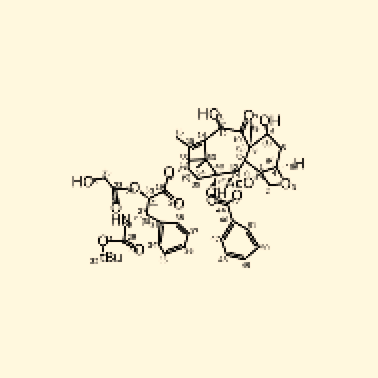 CC(=O)O[C@@]12CO[C@@H]1C[C@H](O)[C@@]1(C)C(=O)[C@H](O)C3=C(C)[C@@H](OC(=O)[C@H](OC(=O)CO)[C@@H](NC(=O)OC(C)(C)C)c4ccccc4)C[C@@](O)([C@@H](OC(=O)c4ccccc4)C12)C3(C)C